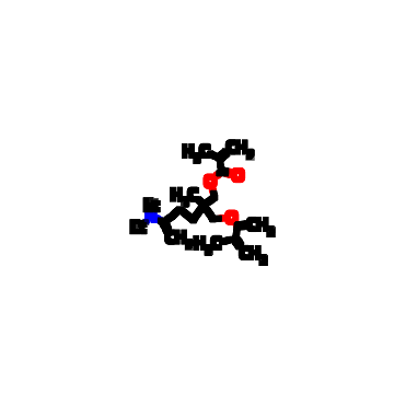 C=C(C)C(=C)OCC(C)(CCC(=C)N(CC)CC)COC(=O)C(=C)C